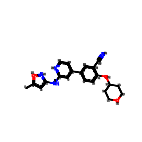 Cc1cc(Nc2cc(-c3ccc(OC4CCOCC4)c(C#N)c3)ccn2)no1